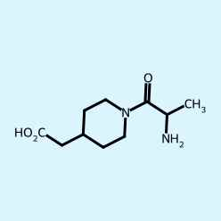 CC(N)C(=O)N1CCC(CC(=O)O)CC1